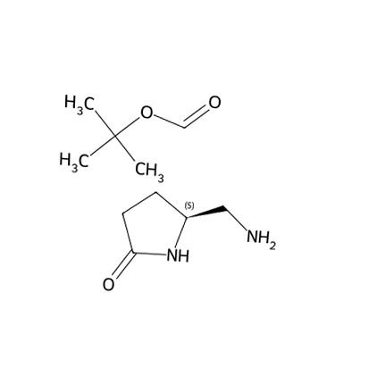 CC(C)(C)OC=O.NC[C@@H]1CCC(=O)N1